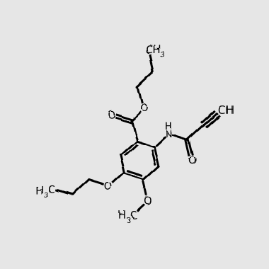 C#CC(=O)Nc1cc(OC)c(OCCC)cc1C(=O)OCCC